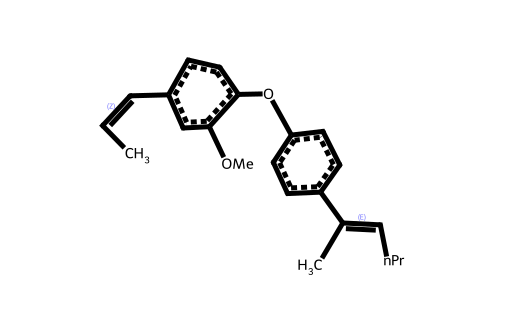 C/C=C\c1ccc(Oc2ccc(/C(C)=C/CCC)cc2)c(OC)c1